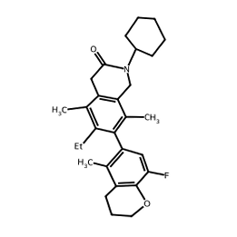 CCc1c(C)c2c(c(C)c1-c1cc(F)c3c(c1C)CCCO3)CN(C1CCCCC1)C(=O)C2